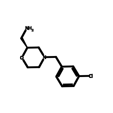 NC[C@H]1CN(Cc2cccc(Cl)c2)CCO1